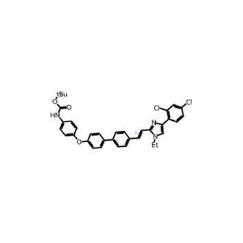 CCn1cc(-c2ccc(Cl)cc2Cl)nc1/C=C/c1ccc(-c2ccc(Oc3ccc(NC(=O)OC(C)(C)C)cc3)cc2)cc1